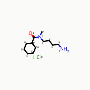 CN(CCCCN)C(=O)C1CCCCC1.Cl